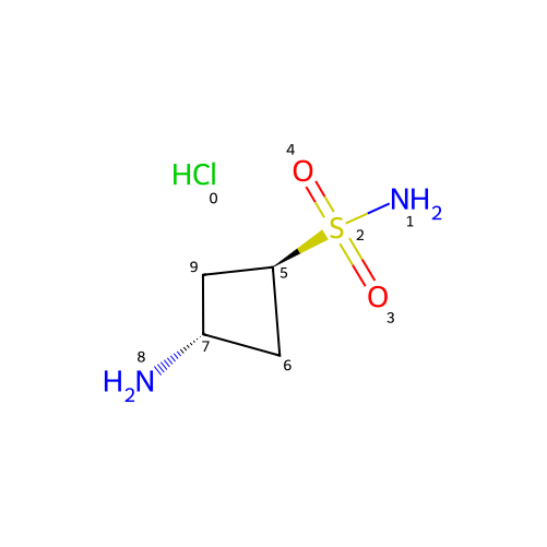 Cl.NS(=O)(=O)[C@H]1C[C@H](N)C1